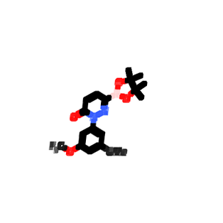 COc1cc(OC(F)(F)F)cc(-n2nc(B3OC(C)(C)C(C)(C)O3)ccc2=O)c1